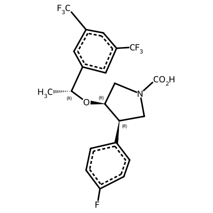 C[C@@H](O[C@H]1CN(C(=O)O)C[C@H]1c1ccc(F)cc1)c1cc(C(F)(F)F)cc(C(F)(F)F)c1